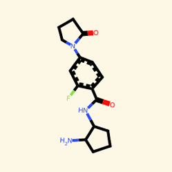 NC1CCCC1NC(=O)c1ccc(N2CCCC2=O)cc1F